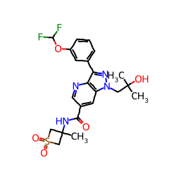 CC(C)(O)Cn1nc(-c2cccc(OC(F)F)c2)c2ncc(C(=O)NC3(C)CS(=O)(=O)C3)cc21